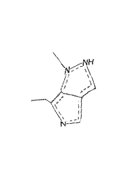 Cc1ncc2c[nH]n(C)c1-2